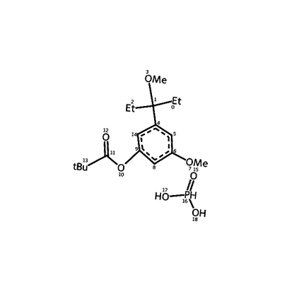 CCC(CC)(OC)c1cc(OC)cc(OC(=O)C(C)(C)C)c1.O=[PH](O)O